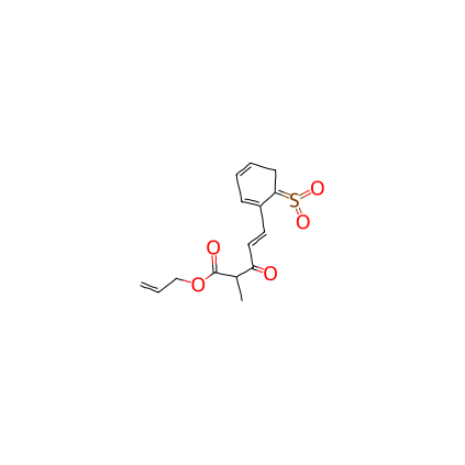 C=CCOC(=O)C(C)C(=O)C=CC1=CC=CCC1=S(=O)=O